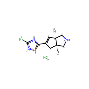 Brc1nsc(C2=C[C@H]3CNC[C@H]3C2)n1.Cl